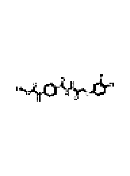 CC(C)(C)OC(=O)N[C@H]1CC[C@H](C(=O)NNC(=O)COc2ccc(Cl)c(F)c2)CC1